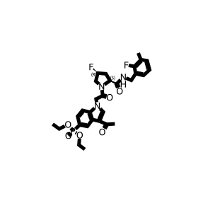 CCOP(=O)(OCC)c1ccc2c(c1)c(C(C)=O)cn2CC(=O)N1C[C@H](F)C[C@H]1C(=O)NCc1cccc(C)c1F